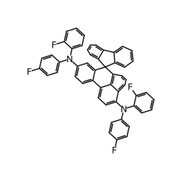 Fc1ccc(N(c2ccc3c(c2)C2(c4ccccc4-c4ccccc42)c2cccc4c(N(c5ccc(F)cc5)c5ccccc5F)ccc-3c24)c2ccccc2F)cc1